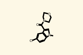 Cn1cc(C(=O)N2CCOCC2)c2cc(Cl)ccc21